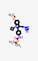 CCOc1ccc2c(C#N)c(-c3ccc(NC(=O)OC(C)C)cc3)n(C3CCC3)c2c1.c1nc2nn1-2